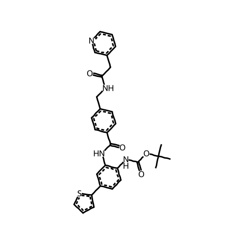 CC(C)(C)OC(=O)Nc1ccc(-c2cccs2)cc1NC(=O)c1ccc(CNC(=O)Cc2cccnc2)cc1